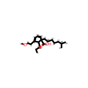 CCCC1C(CCOC)=CC=CC1(CCCCCC(C)C)C(=O)O